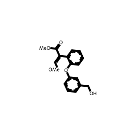 CO/C=C(/C(=O)OC)c1ccccc1Oc1cccc(CO)c1